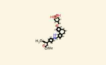 CC#CC(CC(=O)OC)c1ccc(NCc2ccc3c(c2)-c2ccc(OCC4CCS(O)(O)CC4)cc2CCC3)cc1